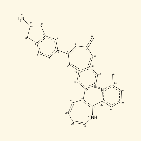 C=C1C=C(c2ccc3c(c2)CC(N)C3)C=c2cc(C3=C(c4cccc(C)n4)NC=CC=C3)ccc2=C1